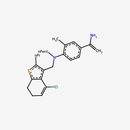 C=C(N)c1ccc(N(CCCCC)Cc2c(CCC)sc3c2C(Cl)=CCC3)c(C)c1